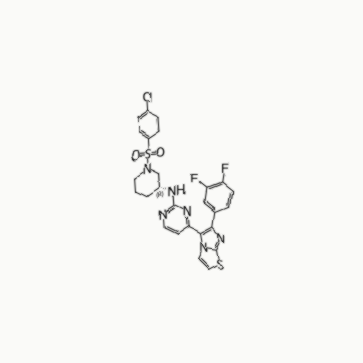 O=S(=O)(c1ccc(Cl)cc1)N1CCC[C@@H](Nc2nccc(-c3c(-c4ccc(F)c(F)c4)nc4sccn34)n2)C1